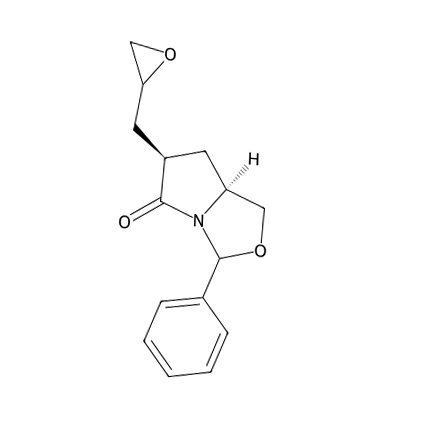 O=C1[C@@H](CC2CO2)C[C@H]2COC(c3ccccc3)N12